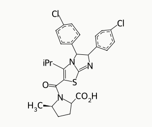 CC(C)C1=C(C(=O)N2C(C(=O)O)CC[C@H]2C)SC2=NC(c3ccc(Cl)cc3)C(c3ccc(Cl)cc3)N21